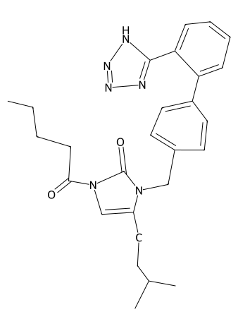 CCCCC(=O)n1cc(CCC(C)C)n(Cc2ccc(-c3ccccc3-c3nnn[nH]3)cc2)c1=O